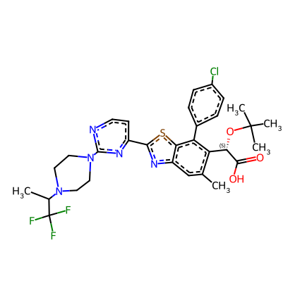 Cc1cc2nc(-c3ccnc(N4CCN(C(C)C(F)(F)F)CC4)n3)sc2c(-c2ccc(Cl)cc2)c1[C@H](OC(C)(C)C)C(=O)O